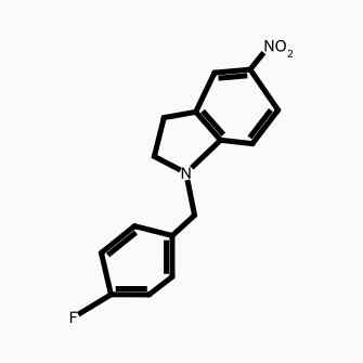 O=[N+]([O-])c1ccc2c(c1)CCN2Cc1ccc(F)cc1